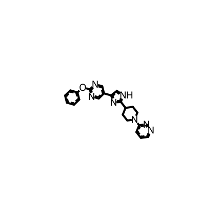 c1ccc(Oc2ncc(-c3c[nH]c(C4CCN(c5cccnn5)CC4)n3)cn2)cc1